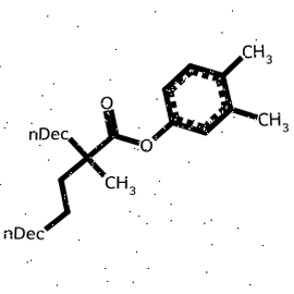 CCCCCCCCCCCCC(C)(CCCCCCCCCC)C(=O)Oc1ccc(C)c(C)c1